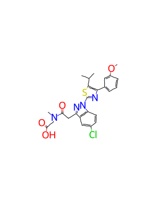 COc1cccc(-c2nc(-n3nc(CC(=O)N(C)CC(=O)O)c4cc(Cl)ccc43)sc2C(C)C)c1